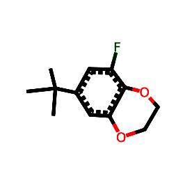 CC(C)(C)c1cc(F)c2c(c1)OCCO2